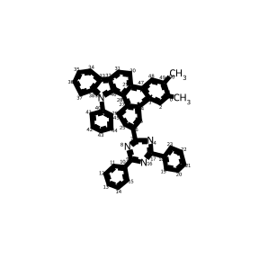 Cc1cc2c3cc(-c4nc(-c5ccccc5)nc(-c5ccccc5)n4)ccc3c3c(ccc4c5ccccc5n(-c5ccccc5)c43)c2cc1C